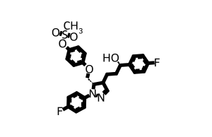 CS(=O)(=O)Oc1ccc(OC[C@@H]2C(CC[C@H](O)c3ccc(F)cc3)C=NN2c2ccc(F)cc2)cc1